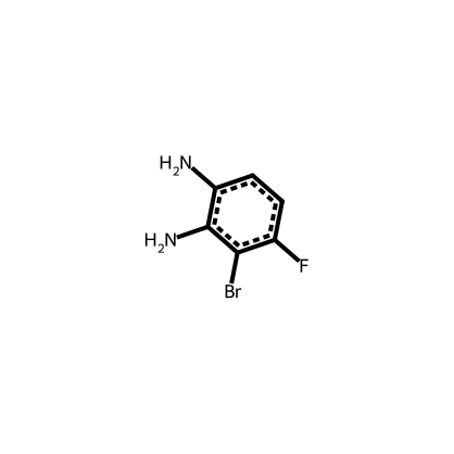 Nc1ccc(F)c(Br)c1N